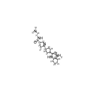 Cc1cc(C(=O)NCCN(C)C)cnc1-c1ccc(C(=O)Nc2ccccc2N)cc1